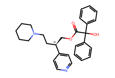 O=C(OC[C@H](CCN1CCCCC1)c1ccncc1)C(O)(c1ccccc1)c1ccccc1